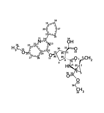 C=C[C@H]1C[C@]1(NC(=O)[C@@H]1C[C@@H](Oc2nc(-c3ccccc3)nc3cc(OC)ccc23)C[C@H]1C(=O)O)C(=O)OCC